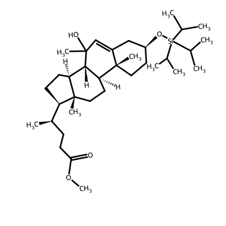 COC(=O)CC[C@@H](C)[C@H]1CC[C@H]2[C@H]3[C@H](CC[C@]12C)[C@@]1(C)CC[C@H](O[Si](C(C)C)(C(C)C)C(C)C)CC1=CC3(C)O